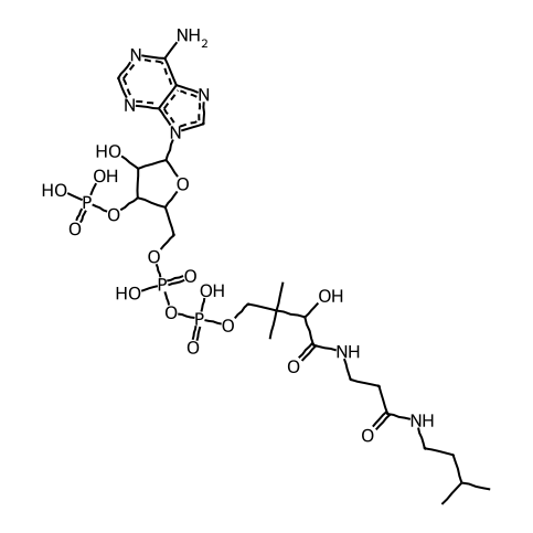 CC(C)CCNC(=O)CCNC(=O)C(O)C(C)(C)COP(=O)(O)OP(=O)(O)OCC1OC(n2cnc3c(N)ncnc32)C(O)C1OP(=O)(O)O